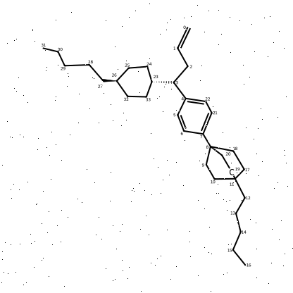 C=CCC(c1ccc(C23CCC(CCCCC)(CC2)CC3)cc1)[C@H]1CC[C@H](CCCCC)CC1